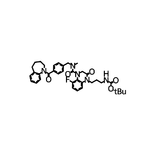 CN(Cc1ccc(C(=O)N2CCCCc3ccccc32)cc1)C(=O)N1CC(=O)N(CCCNC(=O)OC(C)(C)C)c2cccc(F)c21